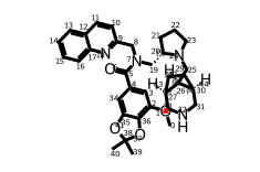 COc1cc(C(=O)N(Cc2ccc3ccccc3n2)C[C@@H]2CCCN2C[C@@H]2[C@@H]3CC[C@H]2CNC3)cc2c1OC(C)(C)O2